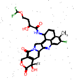 CCC1(O)C(=O)OCc2c1cc1n(c2=O)Cc2c-1nc1cc(F)c(C)c3c1c2C(NC(=O)C(O)CCOC(F)F)CC3